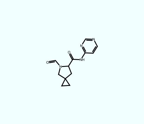 O=CN1CC2(CC2)CC1C(=O)Nc1ccncn1